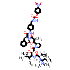 CC[C@H](C)[C@@H]([C@@H](CC(=O)N1CCC[C@H]1[C@H](OC)[C@@H](C)C(=O)N[C@@H](Cc1ccccc1)C(=O)Nc1ccc(CNC(=O)Oc2ccc([N+](=O)[O-])cc2)cc1)OC)N(C)C(=O)[C@@H](/N=C(\C(C)C)N(C)C)C(C)C